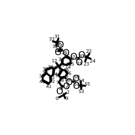 CC(C)(C)OC(=O)Cc1cc(C(C)(c2ccc(OC(=O)OC(C)(C)C)c(OC(=O)OC(C)(C)C)c2)c2ccc3ccccc3c2)ccc1OC(=O)OC(C)(C)C